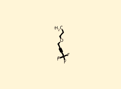 [CH2]CCOCC#CC(F)(F)F